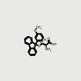 COc1cccc(C2(O[C@H](C)[C@H](N)C(=O)O)c3ccccc3-c3ccccc32)c1